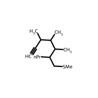 C#CC(C)C(C)C(C)C(CCC)CSC